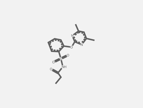 CCC(=O)NS(=O)(=O)c1ccccc1Oc1nc(C)cc(C)n1